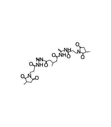 C=C(NC(=O)CCN1C(=O)CC(C)C1=O)NC(=O)CC(C)CC(=O)NC(=C)NC(=O)CCN1C(=O)CC(C)C1=O